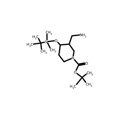 CC(C)(C)OC(=O)N1CCC(O[Si](C)(C)C(C)(C)C)C(CN)C1